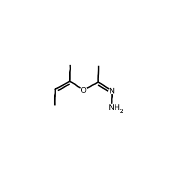 C/C=C(/C)O/C(C)=N\N